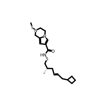 CSN1CCn2cc(C(=O)NSC[C@@H](C)C/C=C/CC3CCC3)cc2C1